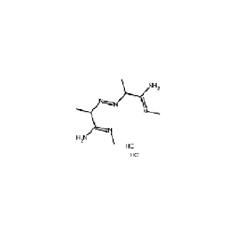 CN=C(N)C(C)N=NC(C)C(N)=NC.Cl.Cl